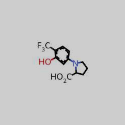 O=C(O)C1CCCN1c1ccc(C(F)(F)F)c(O)c1